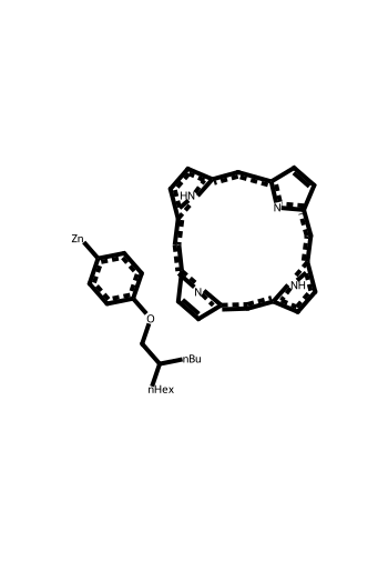 C1=Cc2cc3ccc(cc4nc(cc5ccc(cc1n2)[nH]5)C=C4)[nH]3.CCCCCCC(CCCC)COc1cc[c]([Zn])cc1